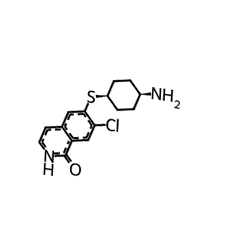 N[C@H]1CC[C@@H](Sc2cc3cc[nH]c(=O)c3cc2Cl)CC1